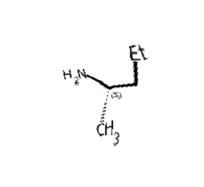 CCC[C@H](C)N